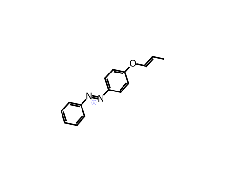 CC=COc1ccc(/N=N/c2ccccc2)cc1